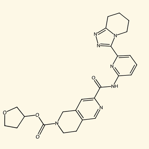 O=C(Nc1cccc(-c2nnc3n2CCCC3)n1)c1cc2c(cn1)CCN(C(=O)OC1CCOC1)C2